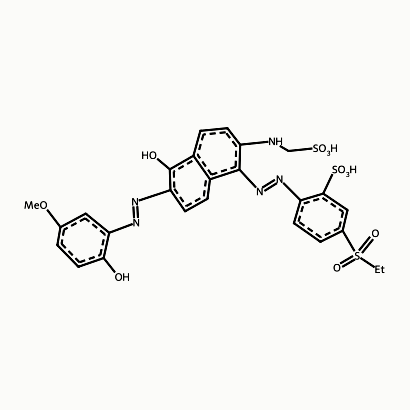 CCS(=O)(=O)c1ccc(/N=N/c2c(NCS(=O)(=O)O)ccc3c(O)c(/N=N/c4cc(OC)ccc4O)ccc23)c(S(=O)(=O)O)c1